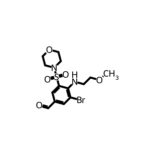 COCCNc1c(Br)cc(C=O)cc1S(=O)(=O)N1CCOCC1